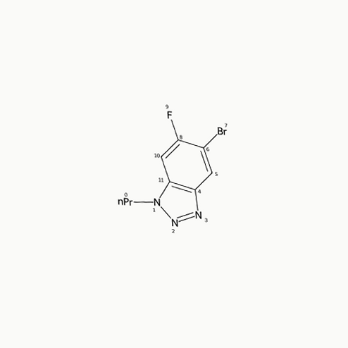 CCCn1nnc2cc(Br)c(F)cc21